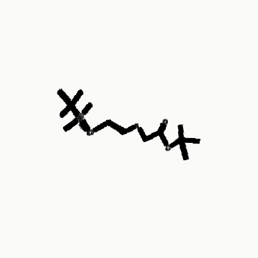 CC(C)(C)OC(=O)CSCCO[Si](C)(C)C(C)(C)C